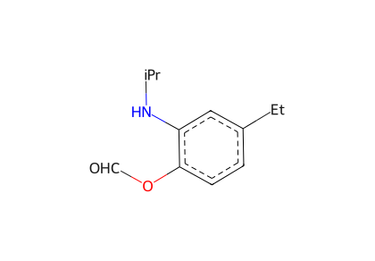 CCc1ccc(OC=O)c(NC(C)C)c1